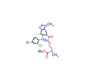 CN(CCONC(=O)c1cc2c(ncn2C)c(F)c1Nc1ccc(Br)cc1Cl)C(=O)OC(C)(C)C